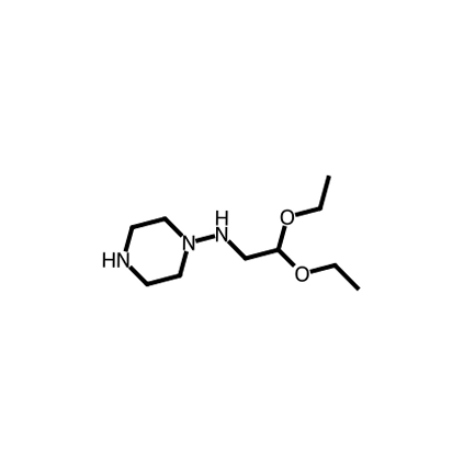 CCOC(CNN1CCNCC1)OCC